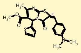 COC(=O)C1=C(C)N=c2s/c(=C/c3ccc(N(C)C)cc3)c(=O)n2C1c1cccs1